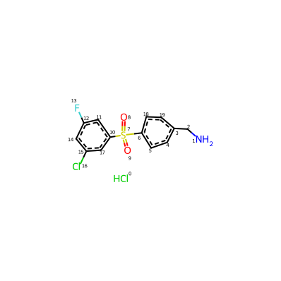 Cl.NCc1ccc(S(=O)(=O)c2cc(F)cc(Cl)c2)cc1